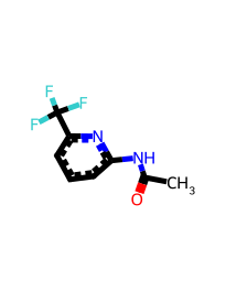 CC(=O)Nc1cccc(C(F)(F)F)n1